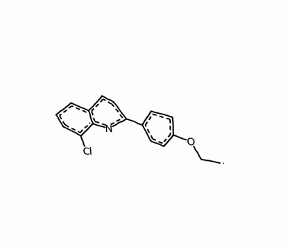 [CH2]COc1ccc(-c2ccc3cccc(Cl)c3n2)cc1